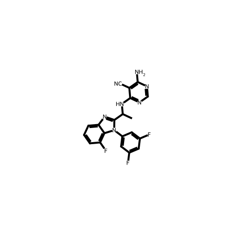 CC(Nc1ncnc(N)c1C#N)c1nc2cccc(F)c2n1-c1cc(F)cc(F)c1